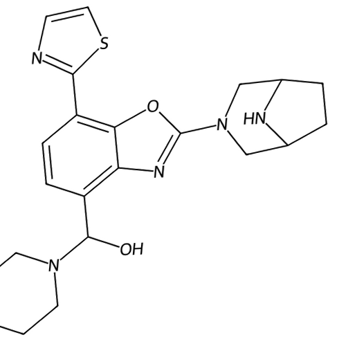 OC(c1ccc(-c2nccs2)c2oc(N3CC4CCC(C3)N4)nc12)N1CCCCC1